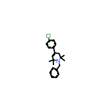 CC1(C)C=C(c2ccc(Cl)cc2)CC(C)(C)N1Cc1ccccc1